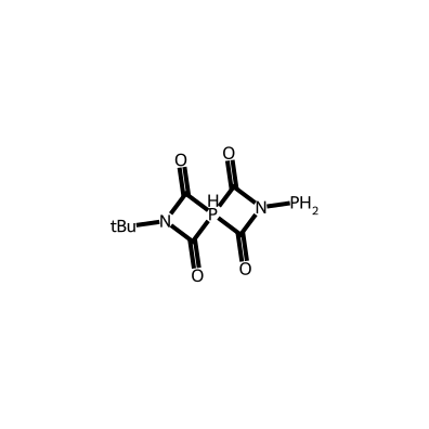 CC(C)(C)N1C(=O)[PH]2(C(=O)N(P)C2=O)C1=O